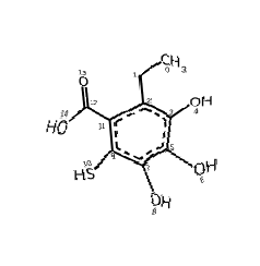 CCc1c(O)c(O)c(O)c(S)c1C(=O)O